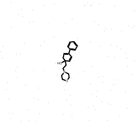 OC1(CCN2CCOCC2)C=CC(c2ccccc2)=CC1